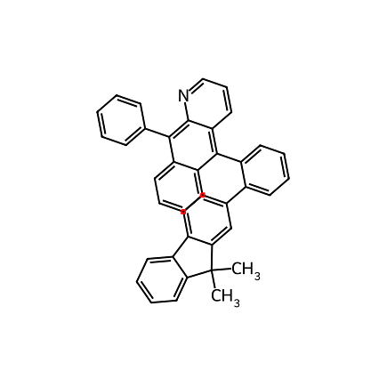 CC1(C)c2ccccc2-c2ccc(-c3ccccc3-c3c4ccccc4c(-c4ccccc4)c4ncccc34)cc21